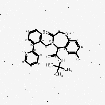 CC(C)(C)NC(=O)C1c2cc(F)ccc2OCC(=O)N1Cc1ccccc1-c1ccccn1